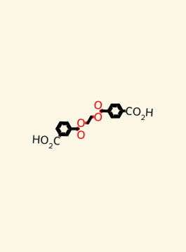 O=C(O)c1ccc(C(=O)OCCOC(=O)c2cccc(C(=O)O)c2)cc1